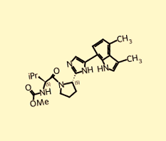 COC(=O)N[C@H](C(=O)N1CCC[C@H]1c1ncc(-c2ccc(C)c3c(C)c[nH]c23)[nH]1)C(C)C